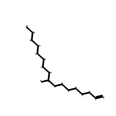 [CH]=CCCCCCCC(C)CCCCCCCC